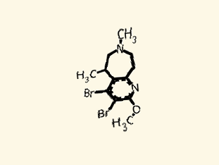 COc1nc2c(c(Br)c1Br)C(C)CN(C)CC2